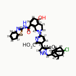 COC12CC3(C)CC(Cl)(CC(Cn4ncc(-c5ccc(N6CCc7c(O)ccc(C(=O)Nc8nc9ccccc9s8)c7C6)nc5C(=O)O)c4C)(C3)C1)C2